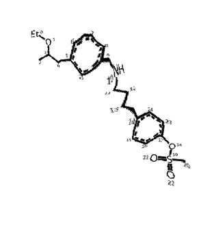 CCOC(C)Cc1cccc(NCCCc2ccc(OS(C)(=O)=O)cc2)c1